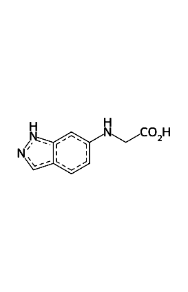 O=C(O)CNc1ccc2cn[nH]c2c1